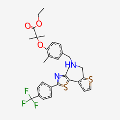 CCOC(=O)C(C)(C)Oc1ccc(CNCc2sccc2-c2sc(-c3ccc(C(F)(F)F)cc3)nc2C)cc1C